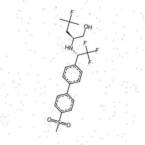 CC(C)(F)C[C@@H](CO)N[C@@H](c1ccc(-c2ccc(S(C)(=O)=O)cc2)cc1)C(F)(F)F